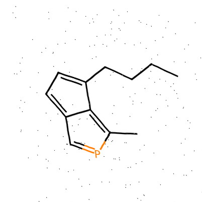 CCCCC1=CC=C2[C]=PC(C)=C21